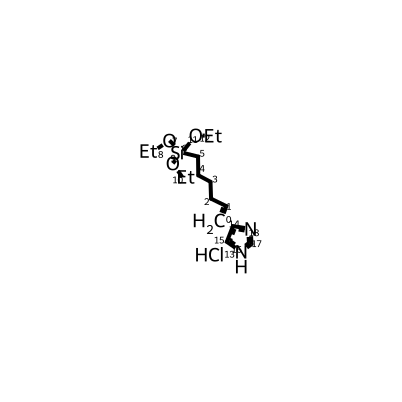 C=CCCCC[Si](OCC)(OCC)OCC.Cl.c1c[nH]cn1